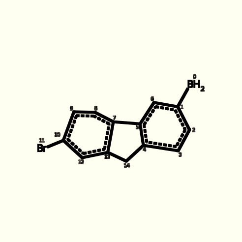 Bc1ccc2c(c1)-c1ccc(Br)cc1C2